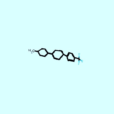 CC1CCC(C2CCC(c3ccc(C(F)(F)F)cc3)CC2)CC1